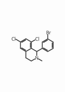 CN1CCc2cc(Cl)cc(Cl)c2C1c1cccc(Br)c1